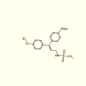 CCOc1ccc(C(=CCNS(C)(=O)=O)c2ccc(OC)cc2)cc1